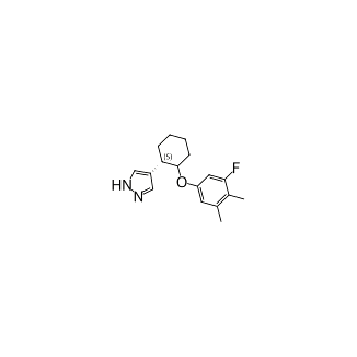 Cc1cc(OC2CCCC[C@H]2c2cn[nH]c2)cc(F)c1C